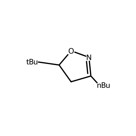 CCCCC1=NOC(C(C)(C)C)C1